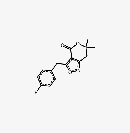 CC1(C)Cc2noc(Cc3ccc(F)cc3)c2C(=O)O1